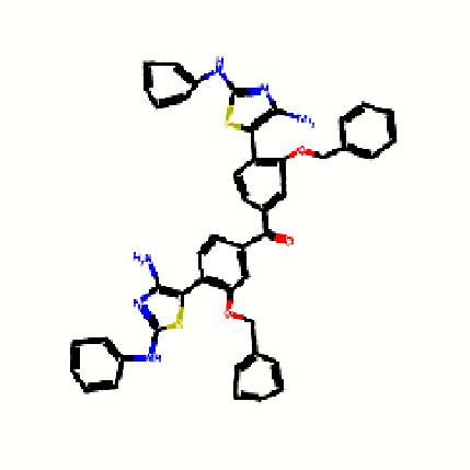 Nc1nc(Nc2ccccc2)sc1-c1ccc(C(=O)c2ccc(-c3sc(Nc4ccccc4)nc3N)c(OCc3ccccc3)c2)cc1OCc1ccccc1